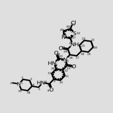 CN1CCC(CNC(=O)c2ccc3c(=O)n(C(CC4CCCCC4)C(=O)Nc4ncc(Cl)s4)c(=O)[nH]c3c2)CC1